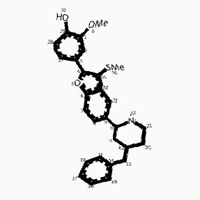 COc1cc(-c2oc3ccc(C4CC(Cc5ccccc5)CC[N]4)cc3c2SC)ccc1O